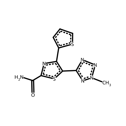 Cn1nnc(-c2sc(C(N)=O)nc2-c2cccs2)n1